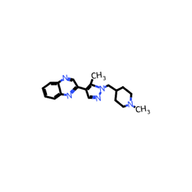 Cc1c(-c2cnc3ccccc3n2)cnn1CC1CCN(C)CC1